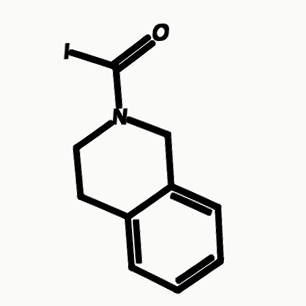 O=C(I)N1CCc2ccccc2C1